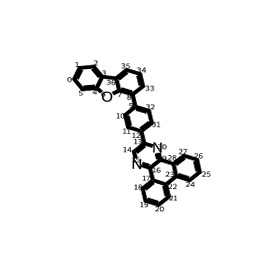 c1ccc2c(c1)oc1c(-c3ccc(-c4cnc5c6ccccc6c6ccccc6c5n4)cc3)cccc12